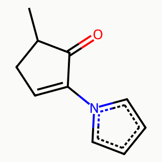 CC1CC=C(n2cccc2)C1=O